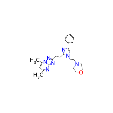 Cc1cc(C)n2nc(CCc3nc(-c4ccccc4)cn3CCN3CCOCC3)nc2n1